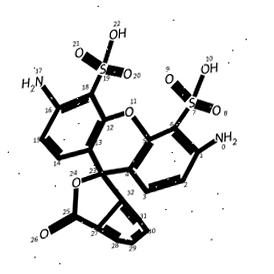 Nc1ccc2c(c1S(=O)(=O)O)Oc1c(ccc(N)c1S(=O)(=O)O)C21OC(=O)c2ccccc21